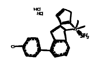 Cl.Cl.[CH3][Zr]([CH3])(=[SiH2])([C]1=CC=CC1)[CH]1C=Cc2c(-c3ccc(Cl)cc3)cccc21